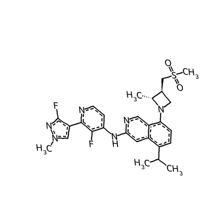 CC(C)c1ccc(N2C[C@H](CS(C)(=O)=O)[C@H]2C)c2cnc(Nc3ccnc(-c4cn(C)nc4F)c3F)cc12